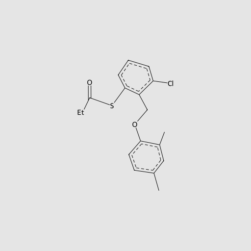 CCC(=O)Sc1cccc(Cl)c1COc1ccc(C)cc1C